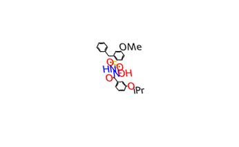 COc1ccc(S(=O)(=O)NN(O)C(=O)c2cccc(OC(C)C)c2)c(Cc2ccccc2)c1